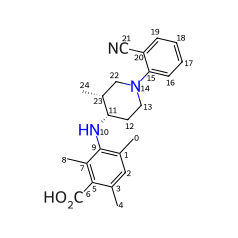 Cc1cc(C)c(C(=O)O)c(C)c1N[C@H]1CCN(c2ccccc2C#N)C[C@H]1C